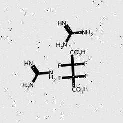 N=C(N)N.N=C(N)N.O=C(O)C(F)(F)C(F)(F)C(=O)O